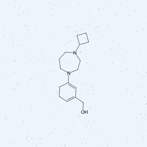 OCC1=CC[CH]C(N2CCCN(C3CCC3)CC2)=C1